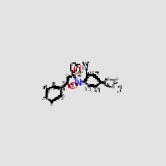 O=c1cc(-c2ccccc2)on1-c1ccc(C(F)(F)F)cc1[N+](=O)[O-]